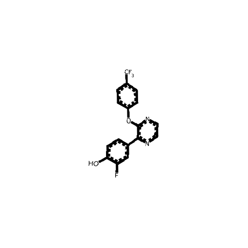 Oc1ccc(-c2nccnc2Oc2ccc(C(F)(F)F)cc2)cc1F